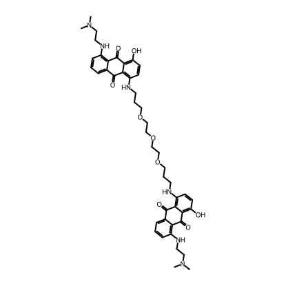 CN(C)CCNc1cccc2c1C(=O)c1c(O)ccc(NCCCOCCOCCOCCCNc3ccc(O)c4c3C(=O)c3cccc(NCCN(C)C)c3C4=O)c1C2=O